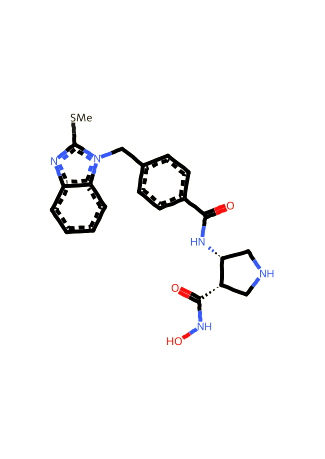 CSc1nc2ccccc2n1Cc1ccc(C(=O)N[C@@H]2CNC[C@@H]2C(=O)NO)cc1